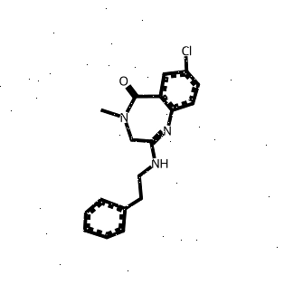 CN1CC(NCCc2ccccc2)=Nc2ccc(Cl)cc2C1=O